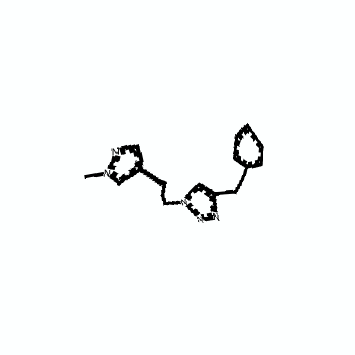 Cn1cc(CCn2cc(Cc3ccccc3)nn2)cn1